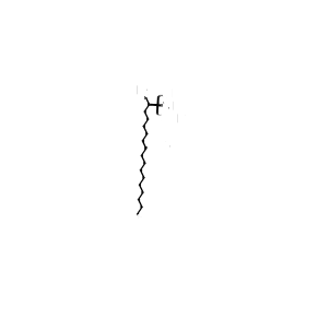 CCCCCCCCCCCCCCCCC(CC)C(N)(CC)CC.O